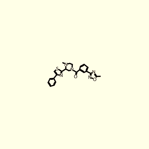 Cc1nc(-c2cccc(C(=O)N3CCN(C)C(c4nc(-c5ccccc5)cs4)C3)c2)no1